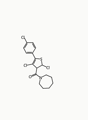 O=C(C1C(Cl)=C(c2ccc(Cl)cc2)SC1Cl)N1CCCCCC1